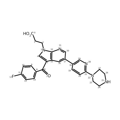 O=C(O)CCn1cc(C(=O)c2ccc(F)cc2)c2cc(-c3ccc(N4CCNCC4)nc3)cnc21